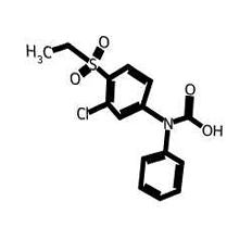 CCS(=O)(=O)c1ccc(N(C(=O)O)c2ccccc2)cc1Cl